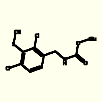 CC(C)(C)OC(=O)NCc1ccc(Cl)c(SC#N)c1Cl